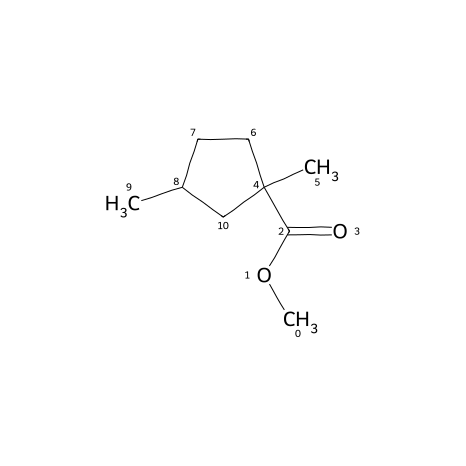 COC(=O)C1(C)CCC(C)C1